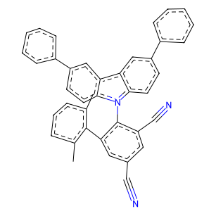 Cc1cccc(C)c1-c1cc(C#N)cc(C#N)c1-n1c2ccc(-c3ccccc3)cc2c2cc(-c3ccccc3)ccc21